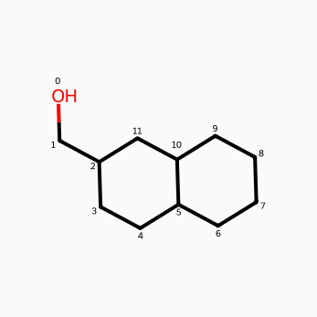 OCC1CCC2CCCCC2C1